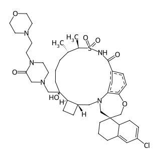 C[C@@H]1[C@@H](C)CCC[C@@](O)(CN2CCN(CCN3CCOCC3)C(=O)C2)[C@@H]2CC[C@H]2CN2C[C@@]3(CCCC4=CC(Cl)=CCC43)COc3ccc(cc32)C(=O)NS1(=O)=O